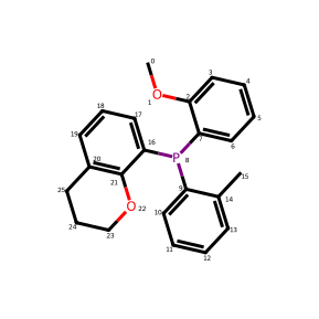 COc1ccccc1P(c1ccccc1C)c1cccc2c1OCCC2